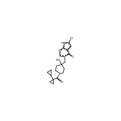 O=C(N1CCC(O)(Cn2cnc3[nH]c(Cl)cc3c2=O)CC1)C1(C2CC2)CC1